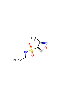 CCCCCCCNS(=O)(=O)c1conc1C